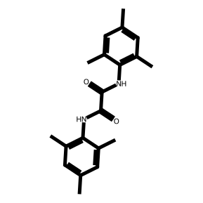 Cc1cc(C)c(NC(=O)C(=O)Nc2c(C)cc(C)cc2C)c(C)c1